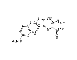 CC(=O)Nc1ccc(CN2CCN(Cc3c(Cl)cccc3Cl)C2=O)cc1